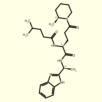 CC(C)CCC(=O)N[C@@H](CCC(=O)N1CCCC[C@@H]1C)C(=O)N[C@@H](C)c1nc2ccccc2[nH]1